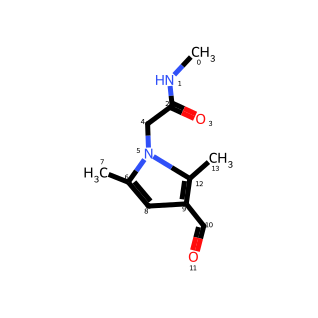 CNC(=O)Cn1c(C)cc(C=O)c1C